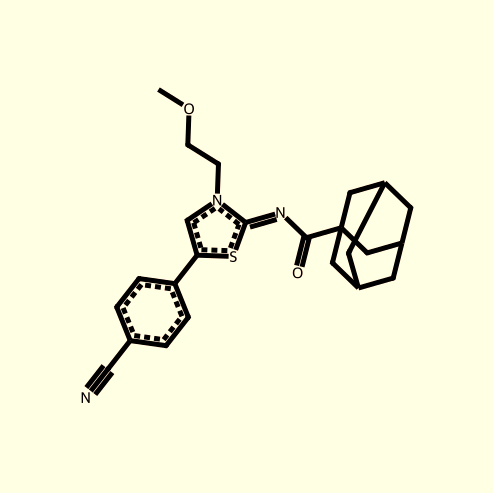 COCCn1cc(-c2ccc(C#N)cc2)sc1=NC(=O)C12CC3CC(CC(C3)C1)C2